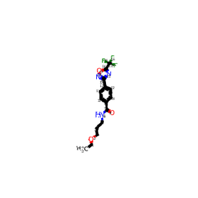 CCOCCCNC(=O)c1ccc(-c2noc(C(F)(F)F)n2)cc1